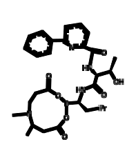 CC(C)C[C@H](NC(=O)[C@@H](NC(=O)c1cccc(-c2ccccc2)n1)[C@@H](C)O)B1OC(=O)CCN(C)C(C)CC(=O)O1